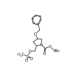 CC(C)(C)OC(=O)N1CC(OCc2ccccc2)CC1COS(C)(=O)=O